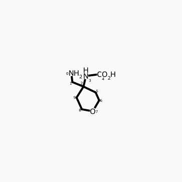 NCC1(NC(=O)O)CCOCC1